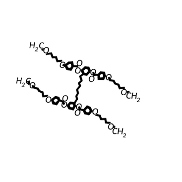 C=COCCCCCCOc1ccc(C(=O)Oc2ccc(OC(=O)c3ccc(OCCCCCCOC=C)cc3)c(CCCCCCCCc3cc(OC(=O)c4ccc(OCCCCCCOC=C)cc4)ccc3OC(=O)c3ccc(OCCCCCCOC=C)cc3)c2)cc1